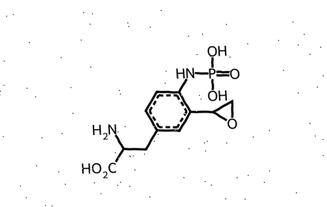 NC(Cc1ccc(NP(=O)(O)O)c(C2CO2)c1)C(=O)O